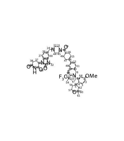 COc1ccc([C@]2(CCN(Cc3ccc(C4=CCC(C(=O)N5CCN(Cc6ccc7c(c6)n(C)c(=O)n7C6CCC(=O)NC6=O)CC5)CC4)cc3F)CC(C)(C)C(F)(F)F)CCOC(C)(C)C2)cc1